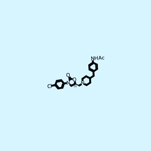 CC(=O)Nc1ccc(CC2CCN(C[C@H]3CN(c4ccc(Cl)cc4)C(=O)O3)CC2)cc1